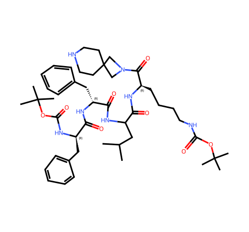 CC(C)CC(NC(=O)[C@@H](Cc1ccccc1)NC(=O)[C@@H](Cc1ccccc1)NC(=O)OC(C)(C)C)C(=O)N[C@H](CCCCNC(=O)OC(C)(C)C)C(=O)N1CC2(CCNCC2)C1